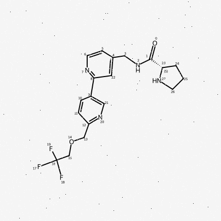 O=C(NCc1ccnc(-c2ccc(COCC(F)(F)F)nc2)c1)[C@@H]1CCCN1